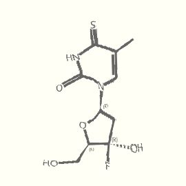 Cc1cn([C@H]2C[C@@](O)(F)[C@@H](CO)O2)c(=O)[nH]c1=S